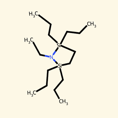 CCC[Si]1(CCC)CC[Si](CCC)(CCC)N1CC